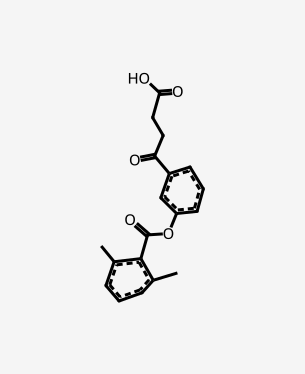 Cc1cccc(C)c1C(=O)Oc1cccc(C(=O)CCC(=O)O)c1